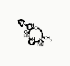 CC1CCCOc2ncc(N3CC4CC(C3)O4)cc2C(=O)Nc2cccc(n2)-c2nncn21